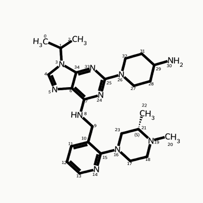 CC(C)n1cnc2c(NCc3cccnc3N3CCN(C)[C@@H](C)C3)nc(N3CCC(N)CC3)nc21